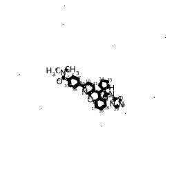 CN(C)C(=O)c1ccc(-c2ccc3c(n2)Oc2ccccc2C3C2(C(=O)Nc3ncns3)CCCC2)cc1